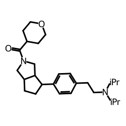 CC(C)N(CCc1ccc(C2CCC3CN(C(=O)C4CCOCC4)CC32)cc1)C(C)C